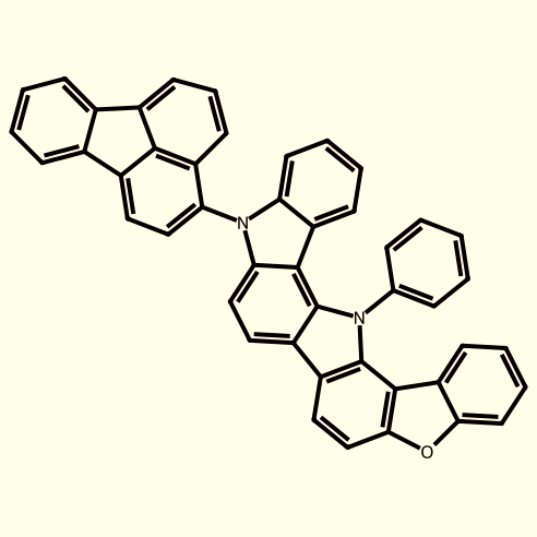 c1ccc(-n2c3c(ccc4oc5ccccc5c43)c3ccc4c(c5ccccc5n4-c4ccc5c6c(cccc46)-c4ccccc4-5)c32)cc1